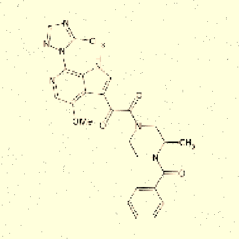 COc1cnc(-n2ncnc2C)c2[nH]cc(C(=O)C(=O)N3CCN(C(=O)c4ccccc4)[C@H](C)C3)c12